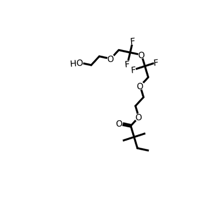 CCC(C)(C)C(=O)OCCOCC(F)(F)OC(F)(F)COCCO